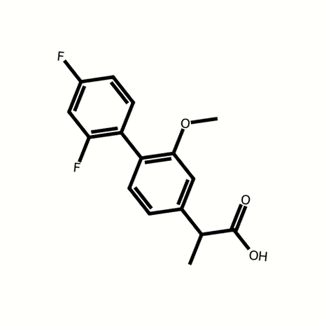 COc1cc(C(C)C(=O)O)ccc1-c1ccc(F)cc1F